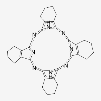 C1CCC2=C(C1)c1nc2nc2[nH]c(nc3nc(nc4[nH]c(n1)c1c4CCCC1)C1=C3CCCC1)c1c2CCCC1